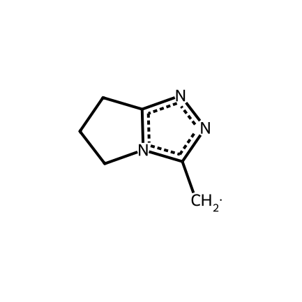 [CH2]c1nnc2n1CCC2